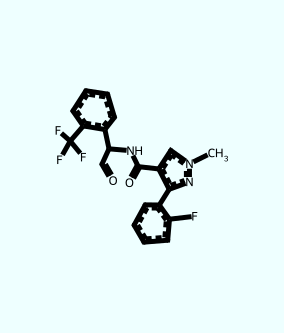 Cn1cc(C(=O)NC(C=O)c2ccccc2C(F)(F)F)c(-c2ccccc2F)n1